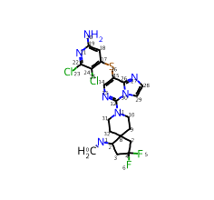 C=NC1CC(F)(F)CC12CCN(c1ncc(Sc3cc(N)nc(Cl)c3Cl)c3nccn13)CC2